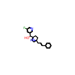 O[C@@H](c1cncc(F)c1)C12CCC(CC=Cc3ccccc3)(CC1)N2